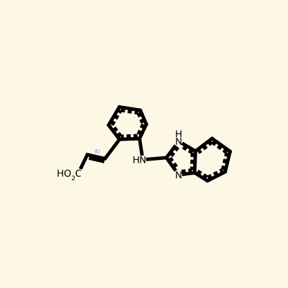 O=C(O)/C=C/c1ccccc1Nc1nc2ccccc2[nH]1